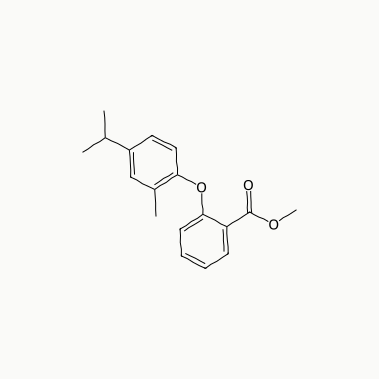 COC(=O)c1ccccc1Oc1ccc(C(C)C)cc1C